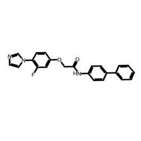 O=C(COc1ccc(-n2ccnc2)c(F)c1)Nc1ccc(-c2ccccc2)cc1